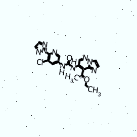 CCO[C@@H](C)c1c(NC(=O)Nc2cnc(-n3nccn3)c(Cl)c2)cnn2ccnc12